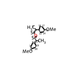 COc1ccc(C(C)[Se]O[Se]C(C)c2ccc(OC)cc2)cc1